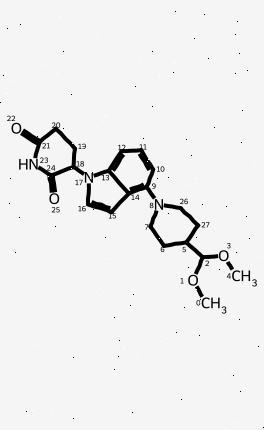 COC(OC)C1CCN(c2cccc3c2ccn3C2CCC(=O)NC2=O)CC1